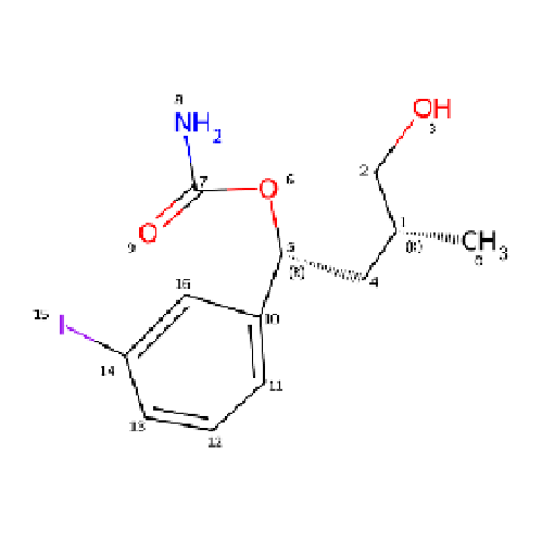 C[C@@H](CO)C[C@@H](OC(N)=O)c1cccc(I)c1